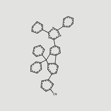 N#Cc1cccc(-c2ccc3c(c2)C(c2ccccc2)(c2ccccc2)c2cc(-c4nc(-c5ccccc5)nc(-c5ccccc5)n4)ccc2-3)c1